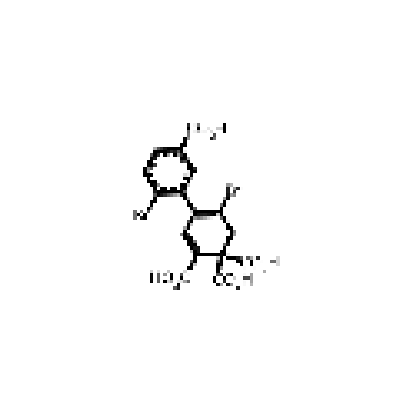 O=C(O)C1=CC(c2cc(C(=O)O)ccc2Br)=C(Br)CC1(C(=O)O)C(=O)O